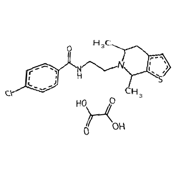 CC1Cc2ccsc2C(C)N1CCNC(=O)c1ccc(Cl)cc1.O=C(O)C(=O)O